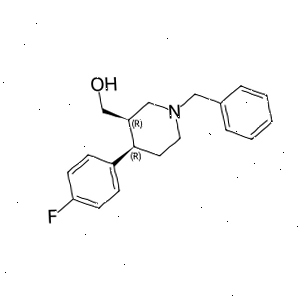 OC[C@H]1CN(Cc2ccccc2)CC[C@H]1c1ccc(F)cc1